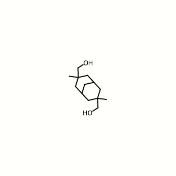 CC1(CO)CC2CC(C1)CC(C)(CO)C2